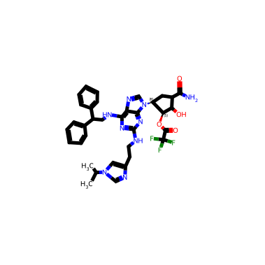 CC(C)n1cnc(CCNc2nc(NCC(c3ccccc3)c3ccccc3)c3ncn([C@@H]4CC(C(N)=O)C(O)[C@H]4OC(=O)C(F)(F)F)c3n2)c1